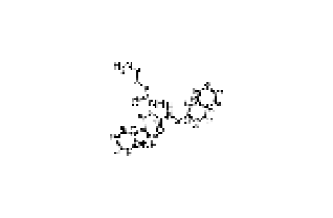 NCCCC(=O)NC(Cc1c[nH]c2ccccc12)C(=O)NCc1ccc2ccccc2c1